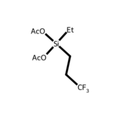 CC[Si](CCC(F)(F)F)(OC(C)=O)OC(C)=O